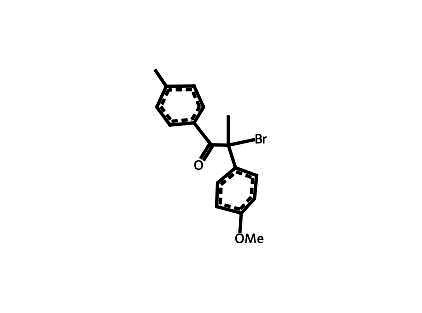 COc1ccc(C(C)(Br)C(=O)c2ccc(C)cc2)cc1